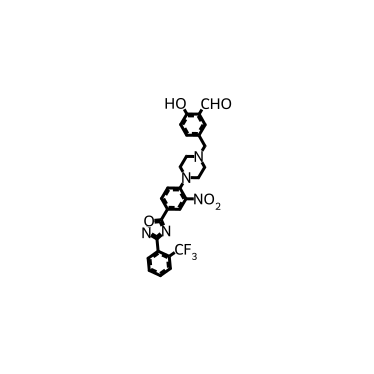 O=Cc1cc(CN2CCN(c3ccc(-c4nc(-c5ccccc5C(F)(F)F)no4)cc3[N+](=O)[O-])CC2)ccc1O